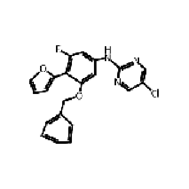 Fc1cc(Nc2ncc(Cl)cn2)cc(OCc2ccccc2)c1-c1ccco1